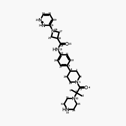 CC(C)(C(=O)N1CCC(c2ccc(NC(=O)C3CN(c4cccnn4)C3)cc2)CC1)N1CCNCC1